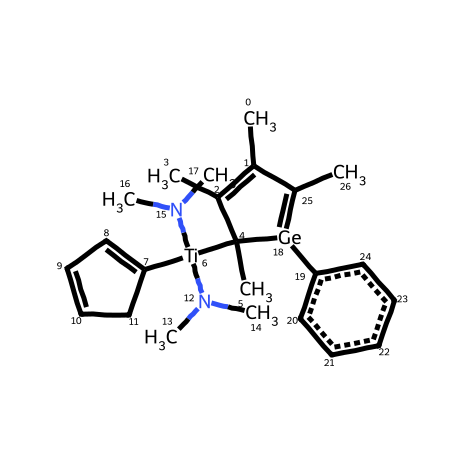 CC1=C(C)[C](C)([Ti]([C]2=CC=CC2)([N](C)C)[N](C)C)[Ge]([c]2ccccc2)=[C]1C